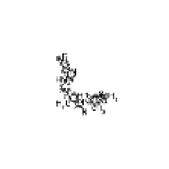 Cc1c(CN2CCC(Nc3ncnc4sc(CC(F)(F)F)cc34)CC2)ccc2c1cc(C#N)n2CCN1C(C)CN(S(C)(=O)=O)CC1C